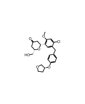 COc1cc(Cl)c(Cc2ccc(O[C@H]3CCOC3)cc2)cc1[C@H]1CC(=O)C[C@@H](CO)O1